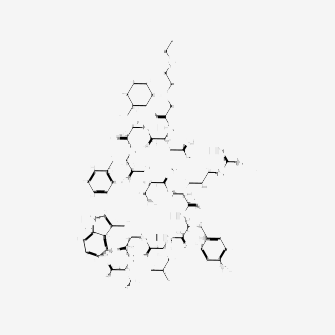 CCOCCOCC(=O)N[C@@H](CC(=O)O)C(=O)N[C@@H](CC1CCCCC1)C(=O)N[C@@H](Cc1ccccc1)C(=O)C[C@@H](CO)C(=O)N[C@@H](CCCNC(=N)N)C(=O)N[C@@H](Cc1ccc(O)cc1)C(=O)N[C@@H](CC(C)C)C(=O)N[C@@H](Cc1c[nH]c2ccccc12)C(=O)N[C@@H](CO)C(=O)O